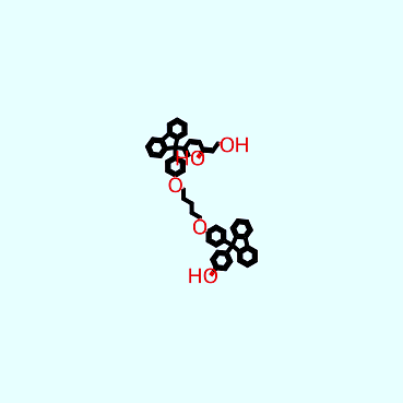 C=C(/C=C\C(O)=C/CO)C1(c2ccc(OCCCCCOc3ccc(C4(c5ccc(O)cc5)c5ccccc5-c5ccccc54)cc3)cc2)c2ccccc2-c2ccccc21